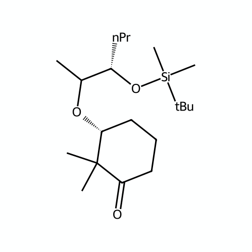 CCC[C@H](O[Si](C)(C)C(C)(C)C)C(C)O[C@@H]1CCCC(=O)C1(C)C